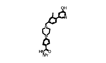 CCCNC(=O)c1ccc(N2CCN(Cc3ccc(-c4cncc(O)c4)c(C)c3)CC2)cc1